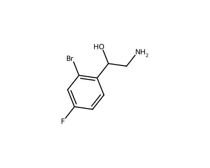 NCC(O)c1ccc(F)cc1Br